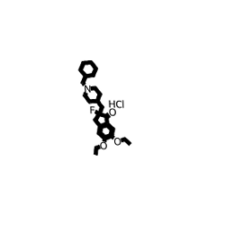 CCOc1cc2c(cc1OCC)C(=O)C(F)(CC1CCN(CC3CCCCC3)CC1)C2.Cl